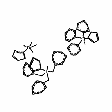 [CH3][Ti]([CH2]c1ccccc1)([CH2]c1ccccc1)([CH2]c1ccccc1)[C]1=CC=CC1.[CH3][Ti]([CH3])([CH3])([CH3])[C]1=CC=CC1.[CH3][Ti]([C]1=CC=CC1)([c]1ccccc1)([c]1ccccc1)[c]1ccccc1